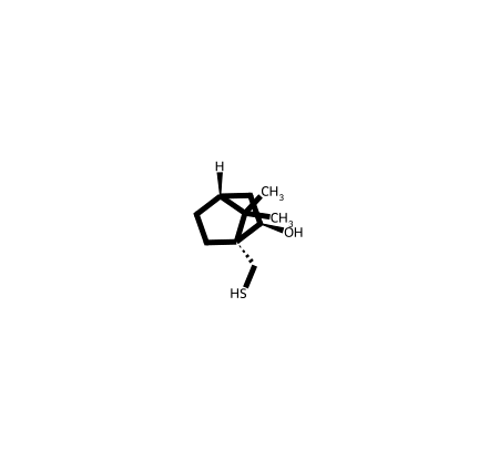 CC1(C)[C@@H]2CC[C@]1(CS)[C@H](O)C2